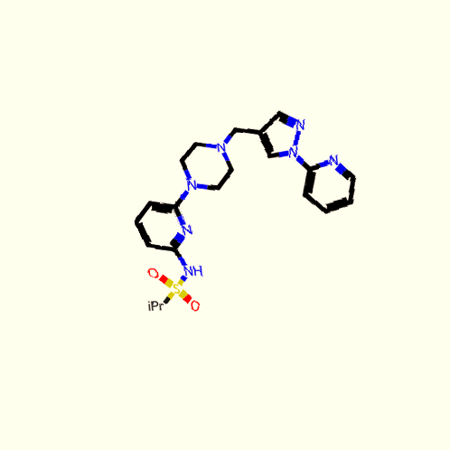 CC(C)S(=O)(=O)Nc1cccc(N2CCN(Cc3cnn(-c4ccccn4)c3)CC2)n1